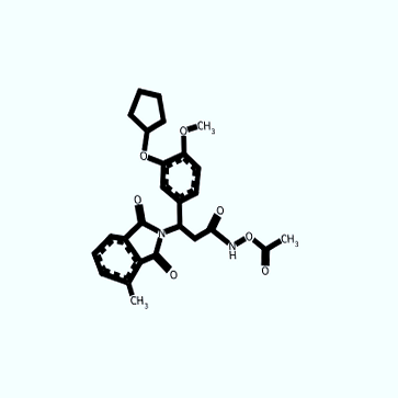 COc1ccc(C(CC(=O)NOC(C)=O)N2C(=O)c3cccc(C)c3C2=O)cc1OC1CCCC1